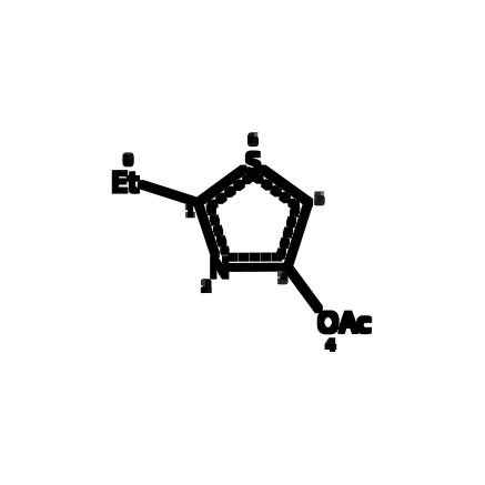 CCc1nc(OC(C)=O)cs1